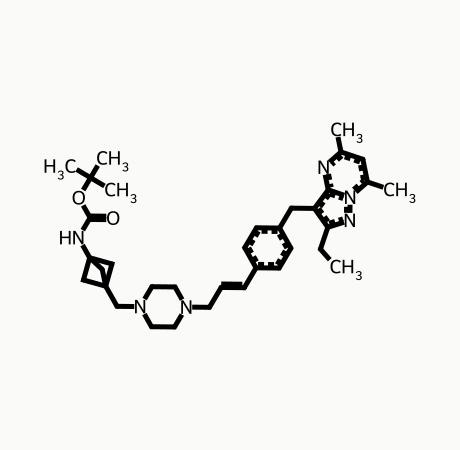 CCc1nn2c(C)cc(C)nc2c1Cc1ccc(/C=C/CN2CCN(CC34CC(NC(=O)OC(C)(C)C)(C3)C4)CC2)cc1